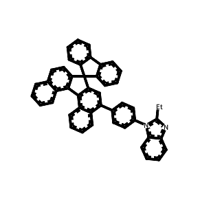 CCc1nc2ccccc2n1-c1ccc(-c2cc3c(c4ccccc24)-c2c(ccc4ccccc24)C32c3ccccc3-c3ccccc32)cc1